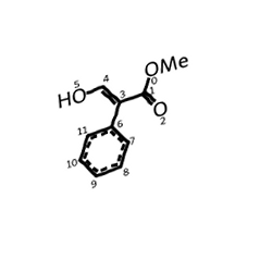 COC(=O)/C(=C/O)c1ccccc1